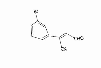 N#CC(=CC=O)c1cccc(Br)c1